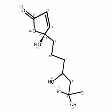 CCC(C)(O)CC(O)CCC[C@@]1(O)C=CC(=O)O1